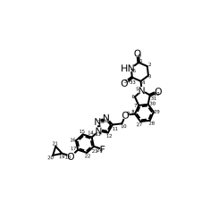 O=C1CCC(N2Cc3c(OCc4cn(-c5ccc(OC6CC6)cc5F)nn4)cccc3C2=O)C(=O)N1